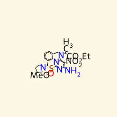 CCOC(=O)C(C)N(Cc1cccc(CN2CCCC2)c1)c1nc(SOOC)nc(N)c1[N+](=O)[O-]